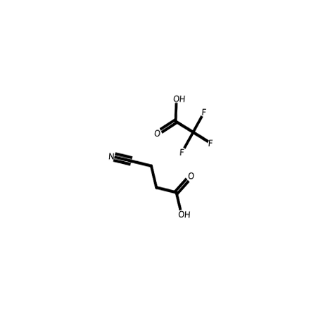 N#CCCC(=O)O.O=C(O)C(F)(F)F